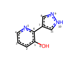 Oc1cccnc1-c1cn[nH]c1